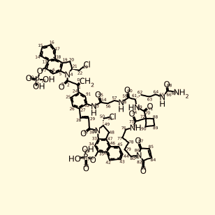 C=C(C(=O)N1c2cc(OP(=O)(O)O)c3ccccc3c2C[C@H]1CCl)c1ccc(/C=C/C(=O)N2c3cc(OP(=O)(O)O)c4ccccc4c3C[C@H]2CCl)c(NC(=O)CCNC(=O)[C@H](CCCNC(N)=O)NC(=O)C2(C(=O)NCCCCCN3C(=O)C=CC3=O)CCC2)c1